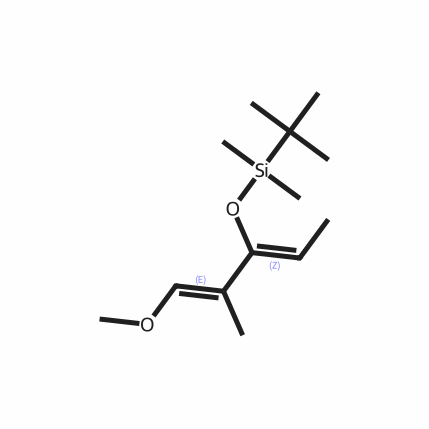 C/C=C(O[Si](C)(C)C(C)(C)C)/C(C)=C/OC